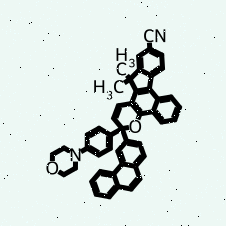 CC1(C)c2cc(C#N)ccc2-c2c1c1c(c3ccccc23)OC(c2ccc(N3CCOCC3)cc2)(c2ccc3ccc4ccccc4c3c2)C=C1